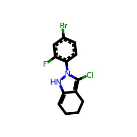 Fc1cc(Br)ccc1N1NC2=CCCCC2=C1Cl